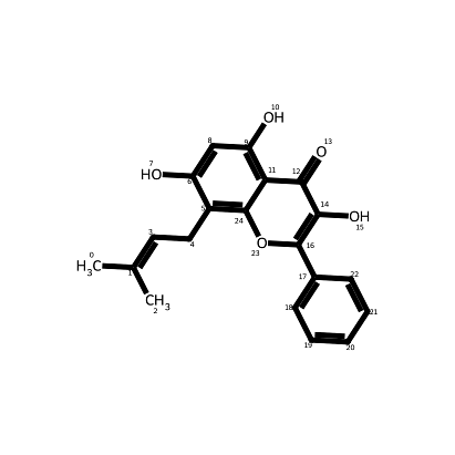 CC(C)=CCc1c(O)cc(O)c2c(=O)c(O)c(-c3ccccc3)oc12